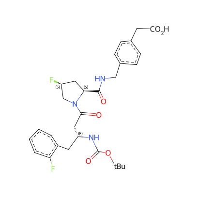 CC(C)(C)OC(=O)N[C@@H](CC(=O)N1C[C@@H](F)C[C@H]1C(=O)NCc1ccc(CC(=O)O)cc1)Cc1ccccc1F